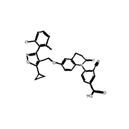 Cc1cccc(Cl)c1-c1noc(C2CC2)c1COc1ccc2c(c1)CCC(=O)N2c1ccc(C(=O)O)cc1C#N